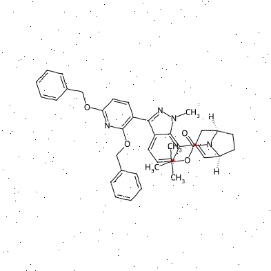 Cn1nc(-c2ccc(OCc3ccccc3)nc2OCc2ccccc2)c2cccc(C3=C[C@@H]4CC[C@H](C3)N4C(=O)OC(C)(C)C)c21